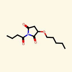 CCCCCOC1CC(=O)N(C(=O)CCC)C1=O